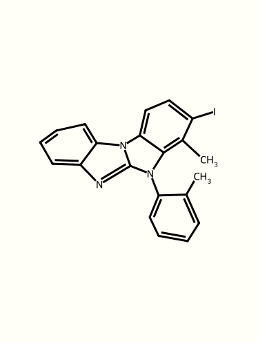 Cc1ccccc1-n1c2c(C)c(I)ccc2n2c3ccccc3nc12